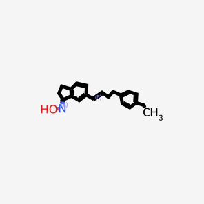 CCc1ccc(CC/C=C/c2ccc3c(c2)/C(=N/O)CC3)cc1